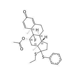 CCSC1(Sc2ccccc2)CC[C@H]2[C@@H]3CCC4=CC(=O)C=C[C@]4(C)C3(F)[C@@H](OC(C)=O)C[C@@]21C